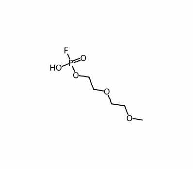 COCCOCCOP(=O)(O)F